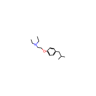 CCN(CC)CCOc1ccc(CC(C)C)cc1